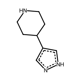 c1n[nH]cc1C1CCNCC1